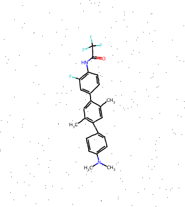 Cc1cc(-c2ccc(NC(=O)C(F)(F)F)c(F)c2)c(C)cc1-c1ccc(N(C)C)cc1